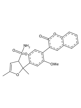 COc1cc(C2(C)OC(C)=CC2S(N)(=O)=O)ccc1-c1cc2ccccc2oc1=O